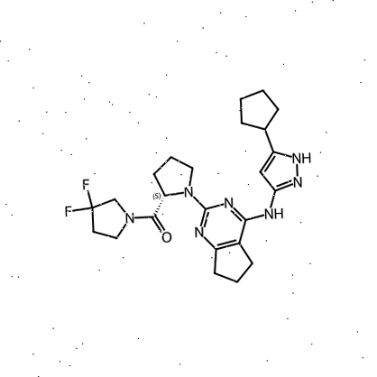 O=C([C@@H]1CCCN1c1nc2c(c(Nc3cc(C4CCCC4)[nH]n3)n1)CCC2)N1CCC(F)(F)C1